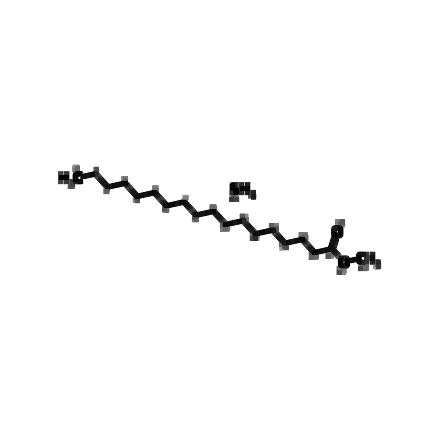 CCCCCCCCCCCCCCCCCC(=O)OC.[SiH4]